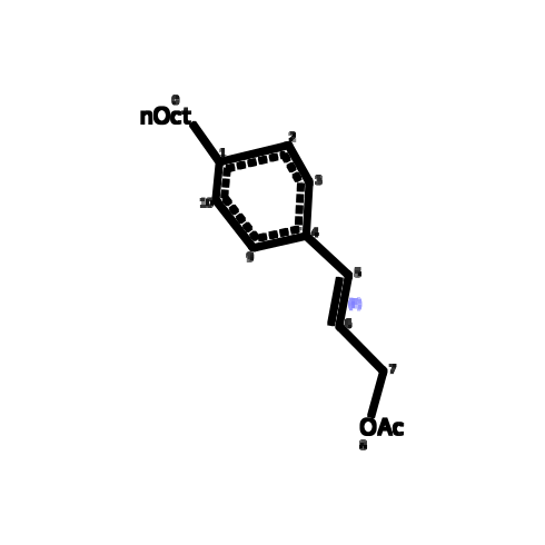 CCCCCCCCc1ccc(/C=C/COC(C)=O)cc1